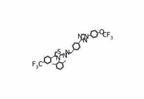 Cc1cccc(C)c1-n1c(-c2ccc(C(F)(F)F)cc2)cs/c1=N\N=Cc1ccc(-c2ncn(-c3ccc(OC(F)(F)F)cc3)n2)cc1